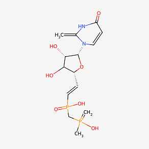 C=C1NC(=O)C=CN1[C@@H]1O[C@H](/C=C/P(=O)(O)CP(=C)(C)O)C(O)[C@@H]1O